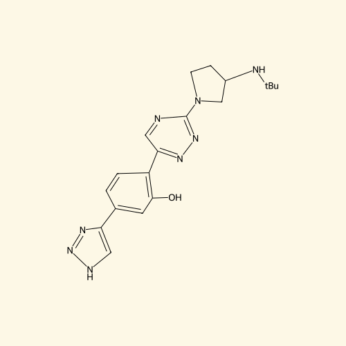 CC(C)(C)NC1CCN(c2ncc(-c3ccc(-c4c[nH]nn4)cc3O)nn2)C1